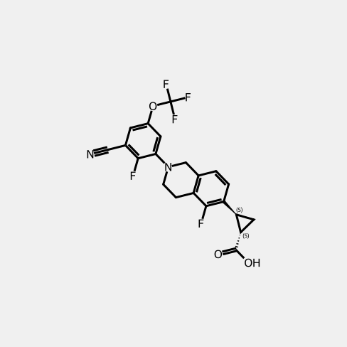 N#Cc1cc(OC(F)(F)F)cc(N2CCc3c(ccc([C@H]4C[C@@H]4C(=O)O)c3F)C2)c1F